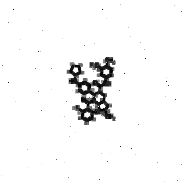 Cc1ccc(NC(=O)C2CC3CN(C)CC3N(C(=O)c3c(C)cccc3F)C2c2ccc(NC3CCCC3)cc2)cc1C(F)(F)F